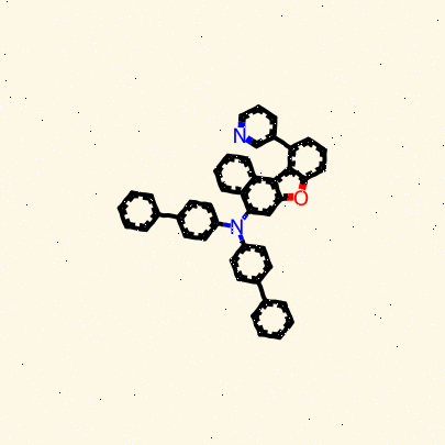 c1ccc(-c2ccc(N(c3ccc(-c4ccccc4)cc3)c3cc4oc5cccc(-c6cccnc6)c5c4c4ccccc34)cc2)cc1